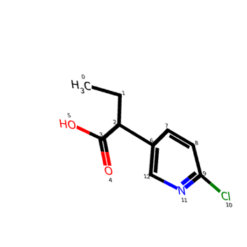 CCC(C(=O)O)c1ccc(Cl)nc1